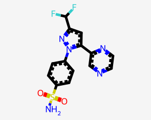 NS(=O)(=O)c1ccc(-n2nc(C(F)F)cc2-c2cnccn2)cc1